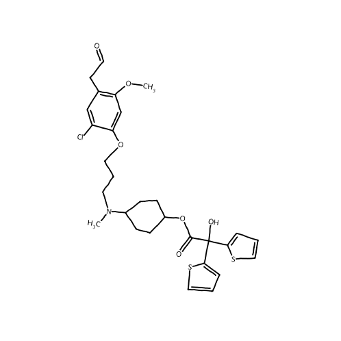 COc1cc(OCCCN(C)C2CCC(OC(=O)C(O)(c3cccs3)c3cccs3)CC2)c(Cl)cc1CC=O